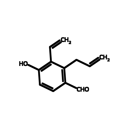 C=CCc1c(C=O)ccc(O)c1C=C